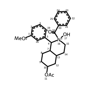 COc1cccc(C2C3CCC(OC(C)=O)CC3CC[N+]2(O)C(=O)c2ccccc2)c1